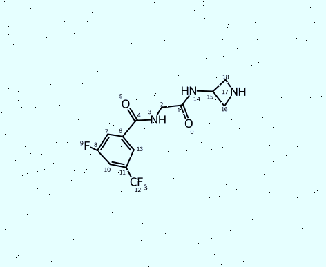 O=C(CNC(=O)c1cc(F)cc(C(F)(F)F)c1)NC1CNC1